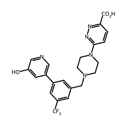 O=C(O)c1ccc(N2CCN(Cc3cc(-c4cncc(O)c4)cc(C(F)(F)F)c3)CC2)nn1